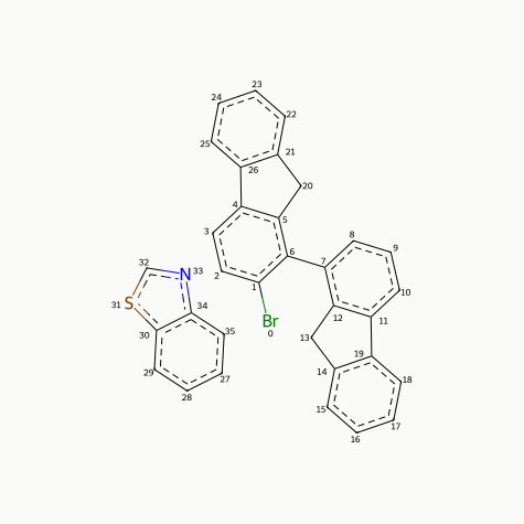 Brc1ccc2c(c1-c1cccc3c1Cc1ccccc1-3)Cc1ccccc1-2.c1ccc2scnc2c1